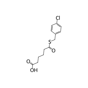 O=C(O)CCCCC(=O)SCc1ccc(Cl)cc1